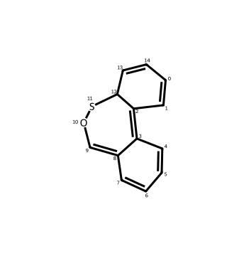 C1=CC2=c3ccccc3=COSC2C=C1